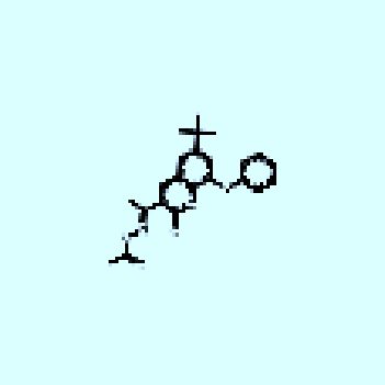 CC(=O)O/N=C(\C)c1cc2cc(C(C)(C)C)cc(Sc3ccccc3)c2oc1=O